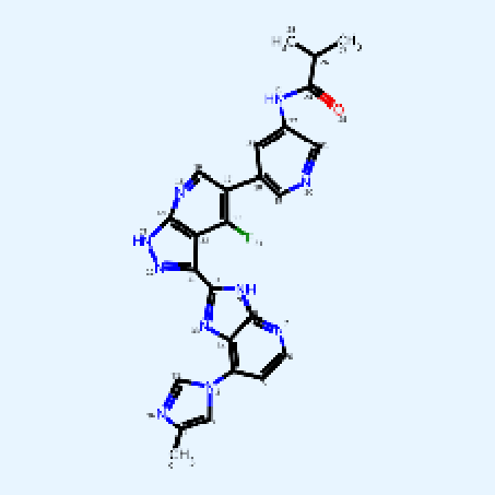 Cc1cn(-c2ccnc3[nH]c(-c4n[nH]c5ncc(-c6cncc(NC(=O)C(C)C)c6)c(F)c45)nc23)cn1